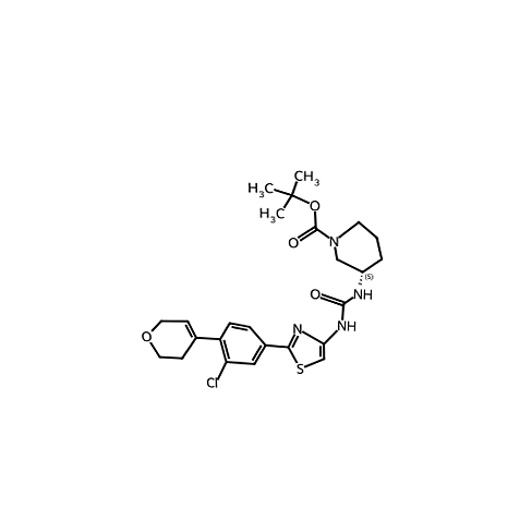 CC(C)(C)OC(=O)N1CCC[C@H](NC(=O)Nc2csc(-c3ccc(C4=CCOCC4)c(Cl)c3)n2)C1